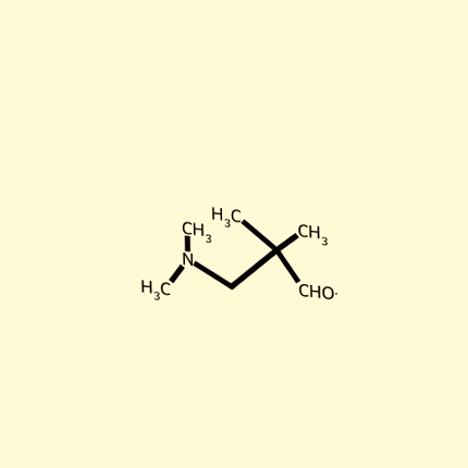 CN(C)CC(C)(C)[C]=O